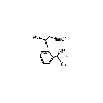 CC(N)c1ccccc1.[C-]#[N+]CC(=O)O